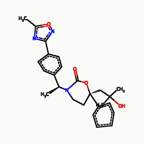 Cc1nc(-c2ccc([C@H](C)N3CC[C@](CC(C)(C)O)(c4ccccc4)OC3=O)cc2)no1